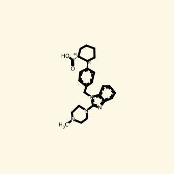 CN1CCN(c2nc3ccccc3n2Cc2ccc([C@@H]3CCCC[C@H]3C(=O)O)cc2)CC1